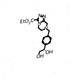 CCOC(=O)c1nnc2n1CCN(Cc1ccc([C@H](O)CO)cc1)C2